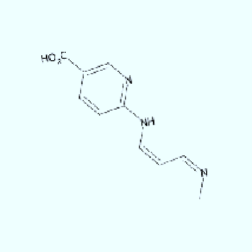 C/N=C\C=C/Nc1ccc(C(=O)O)cn1